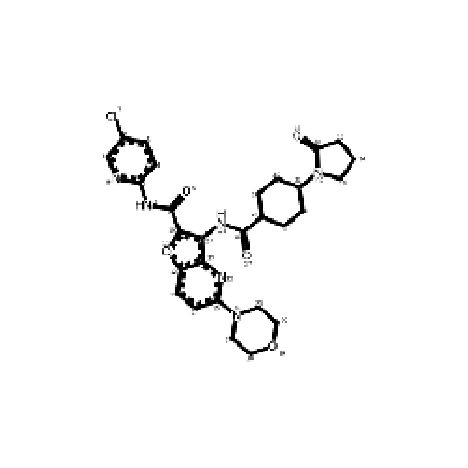 O=C(Nc1ccc(Cl)cn1)c1oc2ccc(N3CCOCC3)nc2c1NC(=O)C1CCC(N2CCCC2=O)CC1